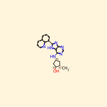 [CH2][C@H]1C[C@@H](Nc2ncnc3nc(-c4cccc5cccnc45)[nH]c23)C[C@@H]1O